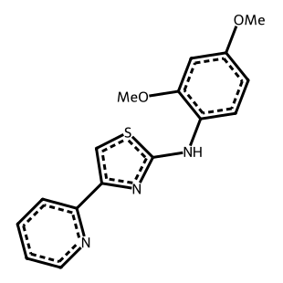 COc1ccc(Nc2nc(-c3ccccn3)cs2)c(OC)c1